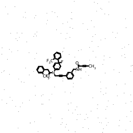 CC#CC(=O)NCc1cccc(C#CCN(C(=O)Cc2ccccc2C(F)(F)F)C2=CCC(F)(c3ccccc3C(F)(F)F)C=C2)c1